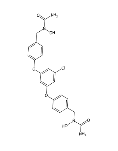 NC(=O)N(O)Cc1ccc(Oc2cc(Cl)cc(Oc3ccc(CN(O)C(N)=O)cc3)c2)cc1